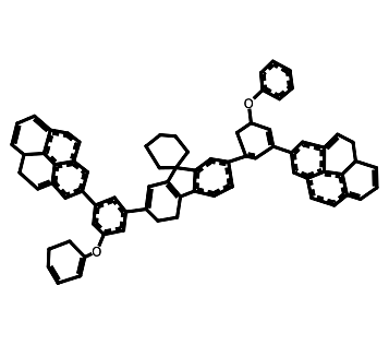 C1=CCCC(Oc2cc(C3=CC4=C(CC3)c3ccc(C5=CC(c6cc7c8c9c(ccc8c6)=CC=CC9CC=7)=CC(Oc6ccccc6)C5)cc3C43CCCCC3)cc(-c3cc4c5c6c(ccc5c3)=CC=CC6CC=4)c2)=C1